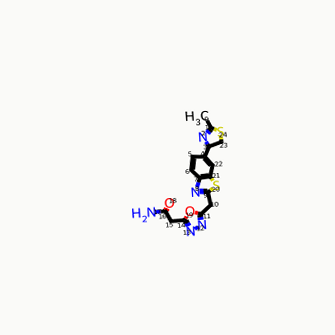 CC1=NC(c2ccc3nc(Cc4nnc(CC(N)=O)o4)sc3c2)CS1